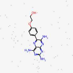 Nc1nc(N)c2nc(-c3ccc(OCCO)cc3)c(N)nc2n1